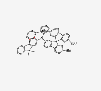 CC(C)(C)c1ccc2c(c1)C1(c3cc(N(c4ccc5c(c4)C(C)(C)c4ccccc4-5)c4ccccc4-c4ccccc4)ccc3-2)c2cc(C(C)(C)C)ccc2-c2ccc(C(C)(C)C)cc21